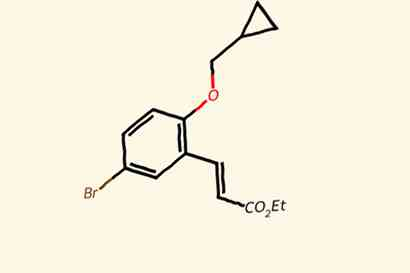 CCOC(=O)/C=C/c1cc(Br)ccc1OCC1CC1